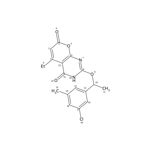 CCc1cc(=O)oc2nc(OC(C)c3cc(C)cc(Cl)c3)[nH]c(=O)c12